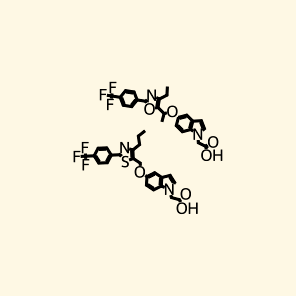 CCCc1nc(-c2ccc(C(F)(F)F)cc2)sc1COc1ccc2c(ccn2CC(=O)O)c1.CCc1nc(-c2ccc(C(F)(F)F)cc2)oc1C(C)Oc1ccc2c(ccn2CC(=O)O)c1